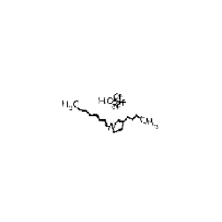 CCCCCCCCN1CCC(CCCC)C1.O=S(=O)(O)C(F)(F)F